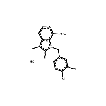 Cc1c(C)n(Cc2ccc(Cl)c(Cl)c2)c2c(OCC(C)C)nccc12.Cl